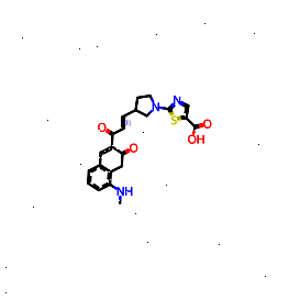 CNc1cccc2c1CC(=O)C(C(=O)/C=C/C1CCN(c3ncc(C(=O)O)s3)C1)=C2